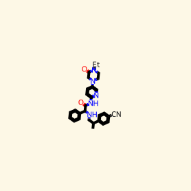 CCN1CCN(c2ccc(NC(=O)C(NCC(C)c3ccc(C#N)cc3)c3ccccc3)nc2)CC1=O